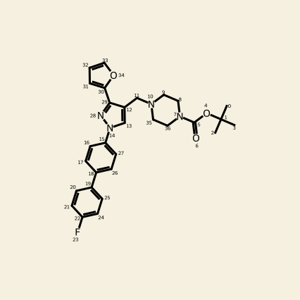 CC(C)(C)OC(=O)N1CCN(Cc2cn(-c3ccc(-c4ccc(F)cc4)cc3)nc2-c2ccco2)CC1